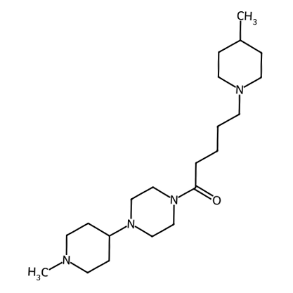 CC1CCN(CCCCC(=O)N2CCN(C3CCN(C)CC3)CC2)CC1